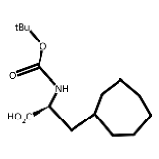 CC(C)(C)OC(=O)N[C@@H](CC1CCCCCC1)C(=O)O